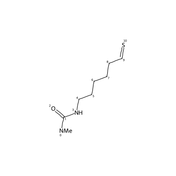 CNC(=O)NCCCCCC=S